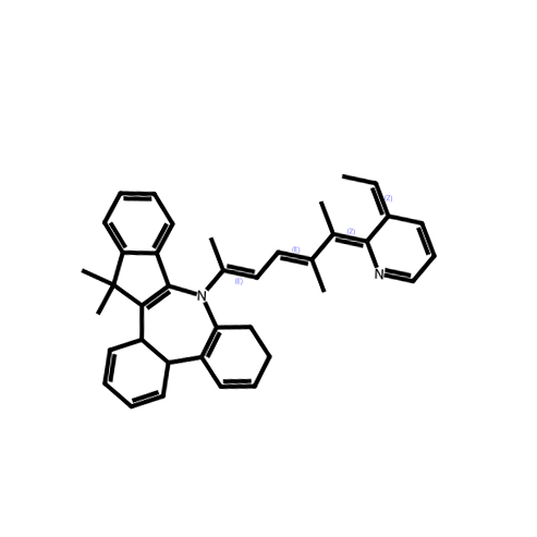 C/C=c1/cccn/c1=C(C)\C(C)=C\C=C(/C)N1C2=C(C=CCC2)C2C=CC=CC2C2=C1c1ccccc1C2(C)C